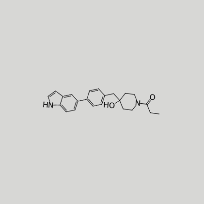 CCC(=O)N1CCC(O)(Cc2ccc(-c3ccc4[nH]ccc4c3)cc2)CC1